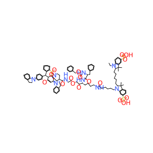 CC[N+]1=C(CCCCCC2N(CCCCCC(=O)NCCCC[C@H](NC(=O)[C@H](Cc3ccccc3)NC(=O)OCc3ccccc3)C(=O)COC(=O)CNC(=O)C3CCN(S(=O)(=O)c4ccccc4C4c5ccc(N6CCc7ccccc76)cc5OC5=CC(=[N+]6CCc7ccccc76)C=CC54)CC3)c3cc(S(=O)(=O)O)ccc3C2(C)C)C(C)(C)c2cc(S(=O)(=O)O)ccc21